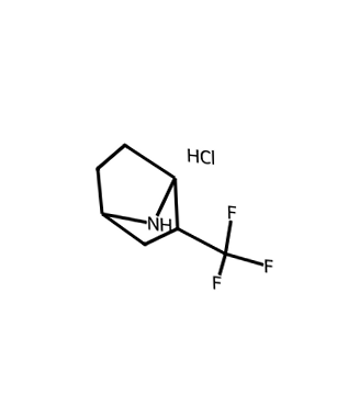 Cl.FC(F)(F)C1CC2CCC1N2